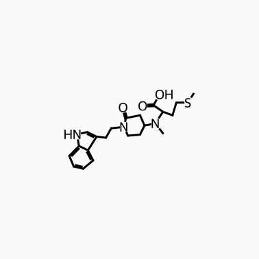 CSCCC(C(=O)O)N(C)C1CCN(CCc2c[nH]c3ccccc23)C(=O)C1